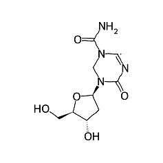 NC(=O)N1[C]=NC(=O)N([C@H]2C[C@H](O)[C@@H](CO)O2)C1